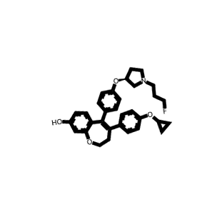 Oc1ccc2c(c1)OCCC(c1ccc(OC3CC3)cc1)=C2c1ccc(O[C@H]2CCN(CCCF)C2)cc1